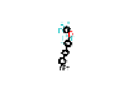 CCCC1CCC(C2CC=C(c3ccc(C(F)(F)Oc4cc(F)c(F)c(F)c4)c(F)c3F)CC2)CC1